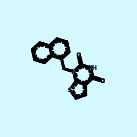 O=c1[nH]c(=O)n(Cc2cccc3ccccc23)c2sccc12